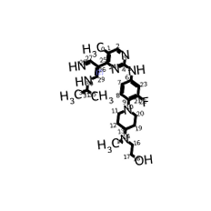 Cc1cnc(Nc2ccc(N3CCC(N(C)CCO)CC3)c(F)c2)nc1/C(C=N)=C/NC(C)C